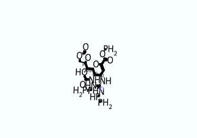 CC(=O)N[C@H]1[C@H]([C@H](O)[C@H]2COC(=O)O2)OC(C(=O)OP)=C[C@@H]1N/C(=N/PP)NPP